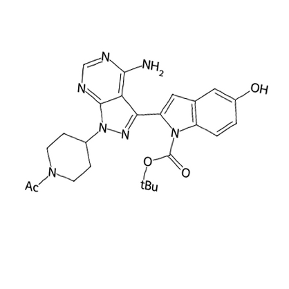 CC(=O)N1CCC(n2nc(-c3cc4cc(O)ccc4n3C(=O)OC(C)(C)C)c3c(N)ncnc32)CC1